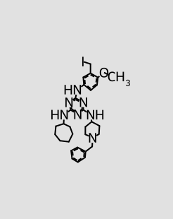 COc1ccc(Nc2nc(NC3CCCCCC3)nc(NC3CCN(Cc4ccccc4)CC3)n2)cc1CI